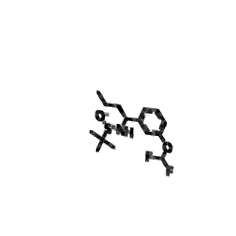 CCC[C@H](N[S+]([O-])C(C)(C)C)c1cccc(OC(F)F)c1